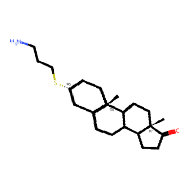 C[C@]12CC[C@@H](SCCCN)CC1CCC1C2CC[C@]2(C)C(=O)CCC12